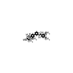 COc1ccc(C(C)Nc2cccc(-c3cc(C)c(C(=O)N[C@@H](C)C(=O)O)c(C)c3)c2)cc1OC